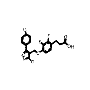 O=C(O)CCc1ccc(OCc2c(Cl)nsc2-c2ccc(Cl)cc2)c(F)c1F